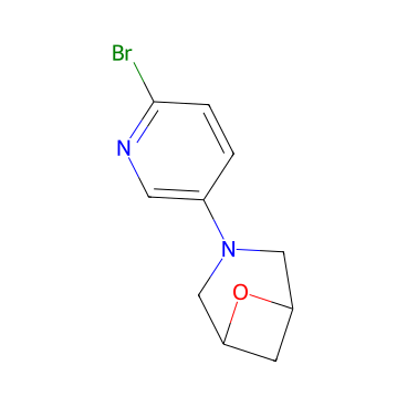 Brc1ccc(N2CC3CC(C2)O3)cn1